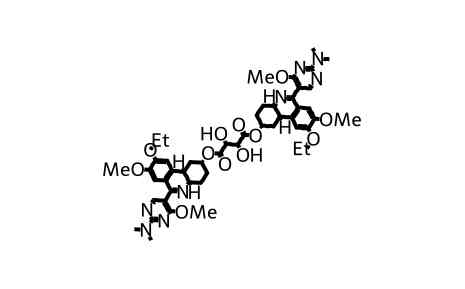 CCOc1cc2c(cc1OC)C(c1cnc(N(C)C)nc1OC)=N[C@H]1CC[C@H](OC(=O)C(O)C(O)C(=O)O[C@H]3CC[C@@H]4N=C(c5cnc(N(C)C)nc5OC)c5cc(OC)c(OCC)cc5[C@@H]4C3)C[C@@H]21